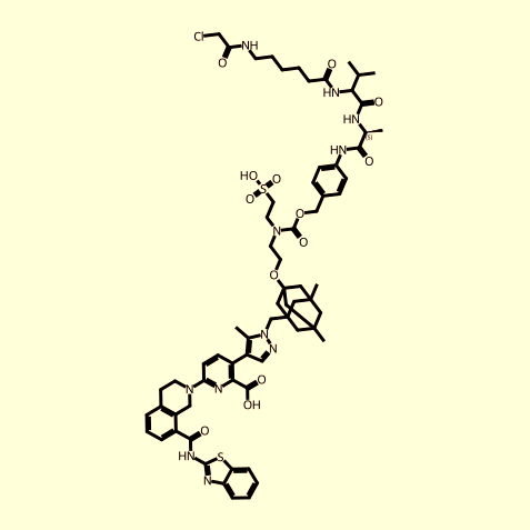 Cc1c(-c2ccc(N3CCc4cccc(C(=O)Nc5nc6ccccc6s5)c4C3)nc2C(=O)O)cnn1CC12CC3(C)CC(C)(C1)CC(OCCN(CCS(=O)(=O)O)C(=O)OCc1ccc(NC(=O)[C@H](C)NC(=O)C(NC(=O)CCCCCNC(=O)CCl)C(C)C)cc1)(C3)C2